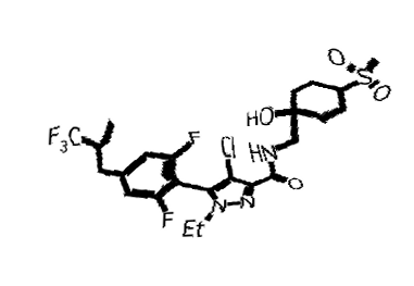 CCn1nc(C(=O)NCC2(O)CCC(S(C)(=O)=O)CC2)c(Cl)c1-c1c(F)cc(CC(C)C(F)(F)F)cc1F